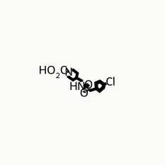 O=C(O)N1CCC(CNS(=O)(=O)Cc2ccc(Cl)cc2)CC1